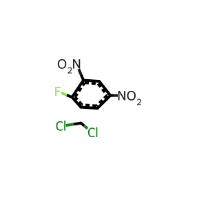 ClCCl.O=[N+]([O-])c1ccc(F)c([N+](=O)[O-])c1